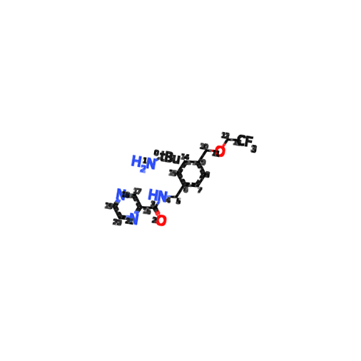 CC(C)(C)N.O=C(NCc1ccc(COCC(F)(F)F)cc1)c1cnccn1